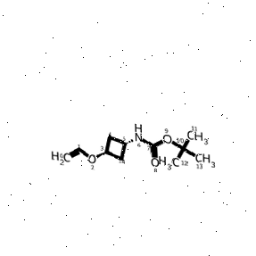 C=CO[C@H]1C[C@H](NC(=O)OC(C)(C)C)C1